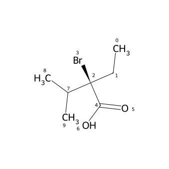 CC[C@](Br)(C(=O)O)C(C)C